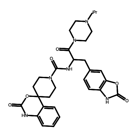 CC(C)N1CCN(C(=O)C(Cc2ccc3[nH]c(=O)oc3c2)NC(=O)N2CCC3(CC2)OC(=O)Nc2ccccc23)CC1